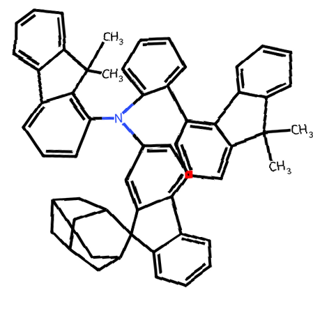 CC1(C)c2ccccc2-c2c(-c3ccccc3N(c3ccc4c(c3)C3(c5ccccc5-4)C4CC5CC(C4)CC3C5)c3cccc4c3C(C)(C)c3ccccc3-4)cccc21